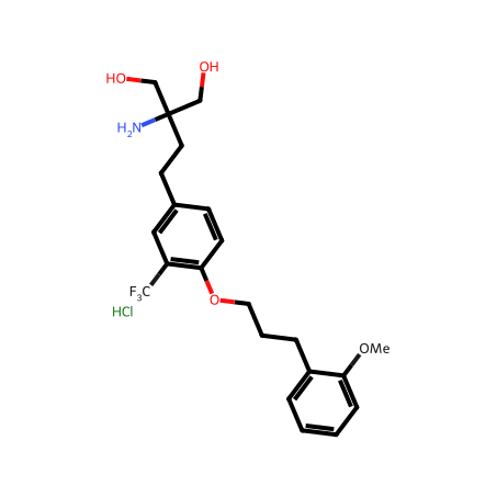 COc1ccccc1CCCOc1ccc(CCC(N)(CO)CO)cc1C(F)(F)F.Cl